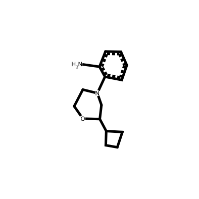 Nc1ccccc1N1CCOC(C2CCC2)C1